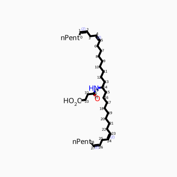 CCCCC/C=C\C/C=C\CCCCCCCCC(CCCCCCCC/C=C\C/C=C\CCCCC)NC(=O)CCC(=O)O